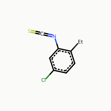 CCc1ccc(Cl)cc1N=C=S